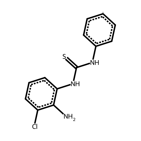 Nc1c(Cl)cccc1NC(=S)Nc1cc[c]cc1